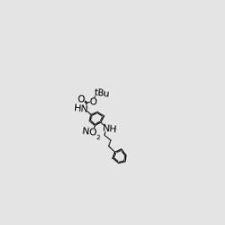 CC(C)(C)OC(=O)Nc1ccc(NCCCc2ccccc2)c([N+](=O)[O-])c1